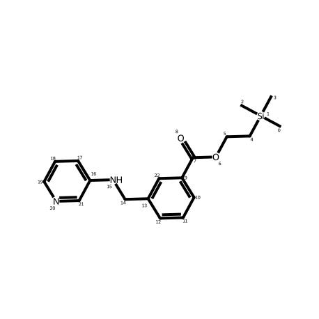 C[Si](C)(C)CCOC(=O)c1cccc(CNc2cccnc2)c1